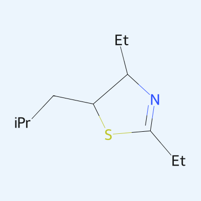 CCC1=NC(CC)C(CC(C)C)S1